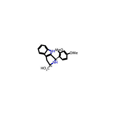 COc1ccc([C@H]2N[C@H](C(=O)O)Cc3c2[nH]c2ccccc32)c(OC)c1